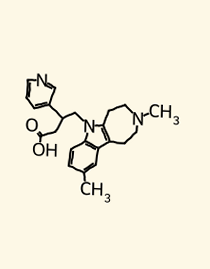 Cc1ccc2c(c1)c1c(n2CC(CC(=O)O)c2cccnc2)CCN(C)CC1